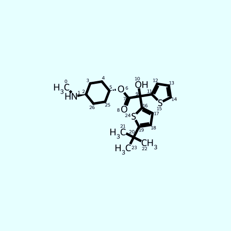 CN[C@H]1CC[C@H](OC(=O)C(O)(c2cccs2)c2ccc(C(C)(C)C)s2)CC1